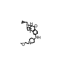 COCCN1CCC(Nc2ccc3c(c2)[C@]2(C)CC4N(CC5CC5)[C@H](C3=O)C42C)CC1